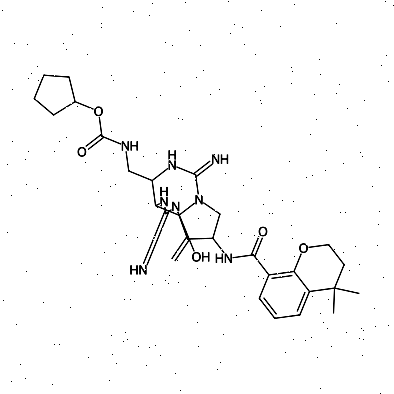 C=C1C(NC(=O)c2cccc3c2OCCC3(C)C)CN2C(=N)NC(CNC(=O)OC3CCCC3)C3NC(=N)N(O)C132